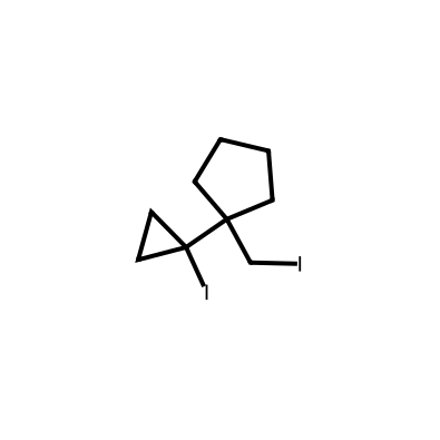 ICC1(C2(I)CC2)CCCC1